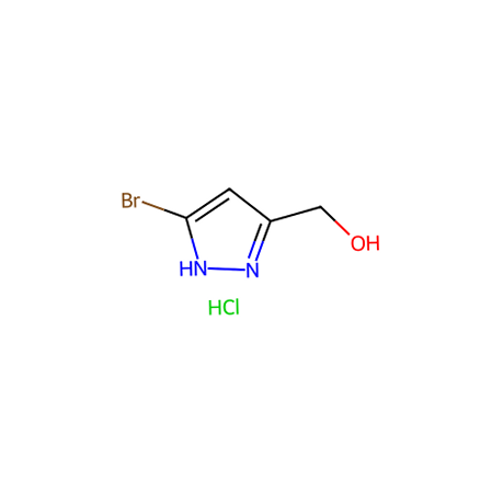 Cl.OCc1cc(Br)[nH]n1